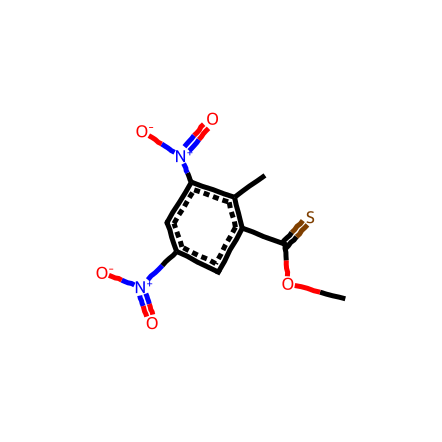 COC(=S)c1cc([N+](=O)[O-])cc([N+](=O)[O-])c1C